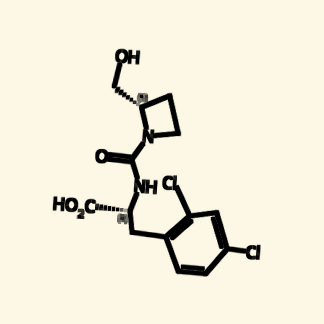 O=C(O)[C@@H](Cc1ccc(Cl)cc1Cl)NC(=O)N1CC[C@H]1CO